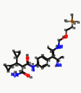 CC(=N)/C(=C(/C)NCOCCS(C)(C)C)c1ccc(NC(=O)C(C(N)=O)C(C2CC2)C2CC2)cc1